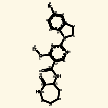 CCOc1nc(N2CCc3cc(Br)ccc32)ncc1C(=O)NC1CCCCNC1=O